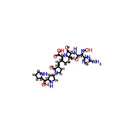 Nc1nc(C(=NO)C(=O)N[C@@H]2C(=O)N3C(C(=O)O)=C(C=C4CCN(C5CNC(C(O)C6CCCN6)C5)C4=O)CS[C@H]23)ns1